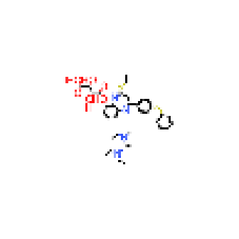 CCN(C)CC.CCN(C)CC.CCSC1=Nc2ccccc2N=C(c2ccc(Sc3ccccc3)cc2)C1.O=C(O)C(O)C(O)C(=O)O